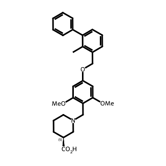 COc1cc(OCc2cccc(-c3ccccc3)c2C)cc(OC)c1CN1CCC[C@H](C(=O)O)C1